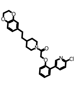 O=C(COc1ccccc1-c1ccc(Cl)nc1)N1CCC(CCc2ccc3c(c2)OCCO3)CC1